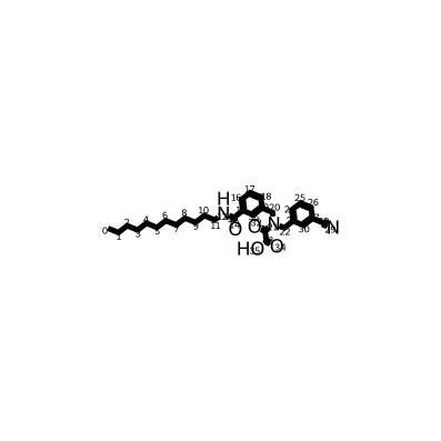 CCCCCCCCCCCCNC(=O)c1cccc(CN(Cc2cccc(C#N)c2)C(=O)C(=O)O)c1